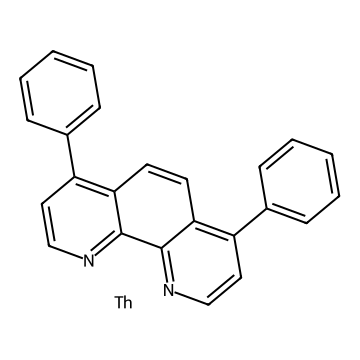 [Th].c1ccc(-c2ccnc3c2ccc2c(-c4ccccc4)ccnc23)cc1